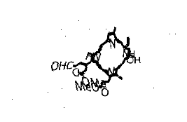 C=CC12C=C3N=C(C=C3C)C=c3[nH]c(c(C(=CCC=O)CC(=O)OC)c3C)=CC3=NC(=CC(O)(N1)C(C)=C2)C(C)=C3CCC(=O)OC